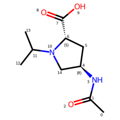 CC(=O)N[C@@H]1C[C@@H](C(=O)O)N(C(C)C)C1